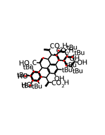 C=C(C(=O)O)C(c1cc(C(C)(C)C)c(O)c(C(C)(C)C)c1)c1c(O)c(C(C)(C)C)c(C(C(=C)C(=O)O)c2cc(C(C)(C)C)c(O)c(C(C)(C)C)c2)c(C(C)C(C(=C)C(=O)O)c2cc(C(C)(C)C)c(O)c(C(C)(C)C)c2)c1C(C(=C)C(=O)O)c1cc(C(C)(C)C)c(O)c(C(C)(C)C)c1